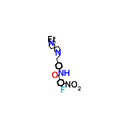 CCN1CCC2(CCN(CCc3ccc(NC(=O)c4ccc(F)c([N+](=O)[O-])c4)cc3)C2)C1